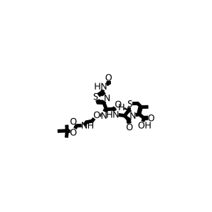 CC1=C(C(=O)O)N2C(=O)C(NC(=O)C(=NOCCNC(=O)OC(C)(C)C)c3csc(NC=O)n3)[C@@H]2SC1